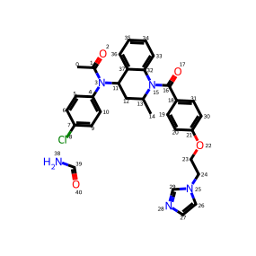 CC(=O)N(c1ccc(Cl)cc1)C1CC(C)N(C(=O)c2ccc(OCCn3ccnc3)cc2)c2ccccc21.NC=O